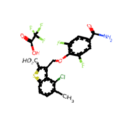 Cc1ccc2sc(C(=O)O)c(COc3c(F)cc(C(N)=O)cc3F)c2c1Cl.O=C(O)C(F)(F)F